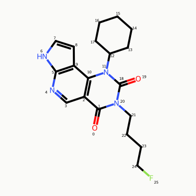 O=c1c2cnc3[nH]ccc3c2n(C2CCCCC2)c(=O)n1CCCCF